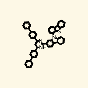 C1=CCC2C(=C1)N(c1cccc3c1sc1ccccc13)c1cc(C3=NC(c4ccc(-c5ccccc5)cc4)=CC(c4ccc(-c5ccccc5)cc4)N3)ccc12